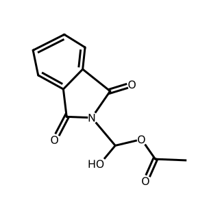 CC(=O)OC(O)N1C(=O)c2ccccc2C1=O